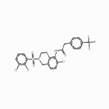 O=C(Cc1ccc(C(F)(F)F)cc1)Nc1c(Cl)ccc2c1CCN(S(=O)(=O)c1cccc(Cl)c1F)C2